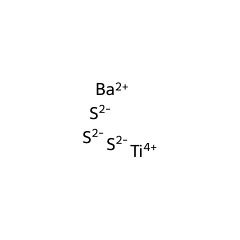 [Ba+2].[S-2].[S-2].[S-2].[Ti+4]